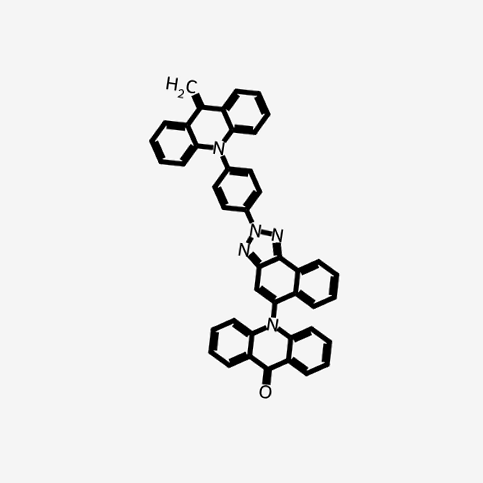 C=C1c2ccccc2N(c2ccc(-n3nc4cc(-n5c6ccccc6c(=O)c6ccccc65)c5ccccc5c4n3)cc2)c2ccccc21